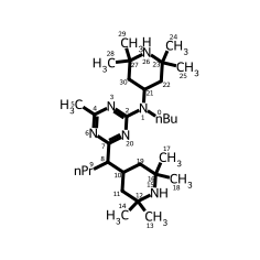 CCCCN(c1nc(C)nc(C(CCC)C2CC(C)(C)NC(C)(C)C2)n1)C1CC(C)(C)NC(C)(C)C1